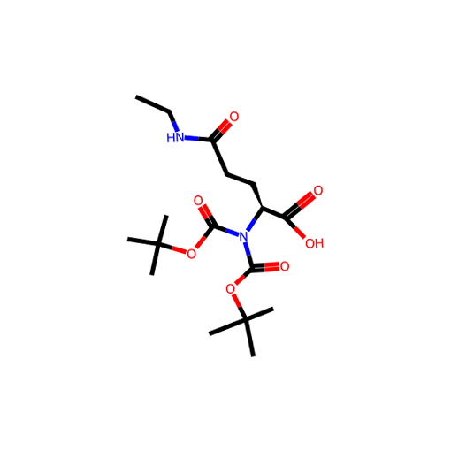 CCNC(=O)CC[C@@H](C(=O)O)N(C(=O)OC(C)(C)C)C(=O)OC(C)(C)C